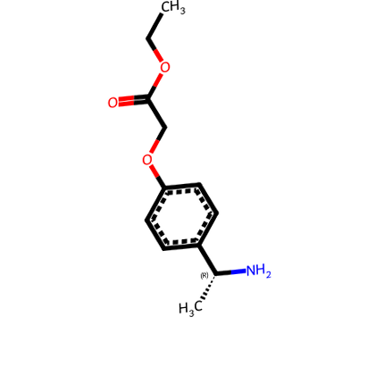 CCOC(=O)COc1ccc([C@@H](C)N)cc1